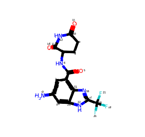 Nc1cc(C(=O)NC2CCC(=O)NC2=O)c2nc(C(F)(F)F)[nH]c2c1